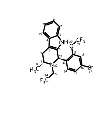 C[C@@H]1Cc2c([nH]c3ccccc23)[C@@H](c2ccc(Br)cc2OC(F)(F)F)N1CC(F)(F)F